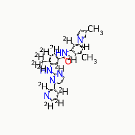 [2H]c1nc([2H])c(-c2ccnc(Nc3c([2H])c(C(=O)Nc4c([2H])c(C)c([2H])c(-n5ccc(C)c5)c4[2H])c([2H])c([2H])c3C([2H])([2H])[2H])n2)c([2H])c1[2H]